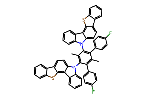 Cc1c(-c2ccc(F)cc2)c(-n2c3ccccc3c3c4sc5ccccc5c4ccc32)c(C)c(-n2c3ccccc3c3c4sc5ccccc5c4ccc32)c1-c1ccc(F)cc1